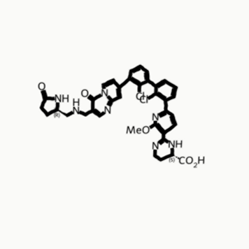 COc1nc(-c2cccc(-c3cccc(-c4ccn5c(=O)c(CNC[C@H]6CCC(=O)N6)cnc5c4)c3Cl)c2Cl)ccc1C1=NCC[C@@H](C(=O)O)N1